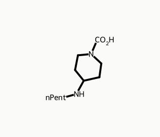 CCCCCNC1CCN(C(=O)O)CC1